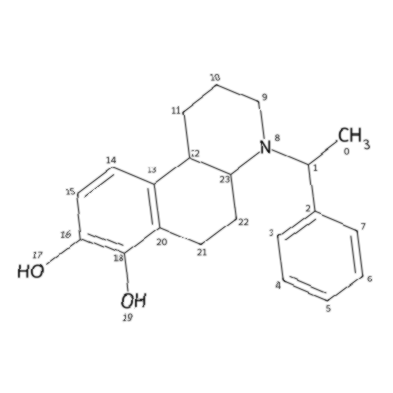 CC(c1ccccc1)N1CCCC2c3ccc(O)c(O)c3CCC21